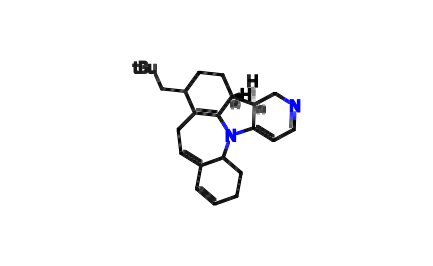 CC(C)(C)CC1CC[C@H]2C3=C1CC=C1C=CCCC1N3C1=CC=NC[C@@H]12